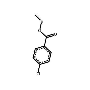 CSOC(=O)c1ccc(Cl)cc1